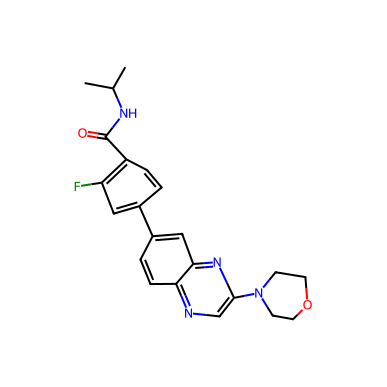 CC(C)NC(=O)c1ccc(-c2ccc3ncc(N4CCOCC4)nc3c2)cc1F